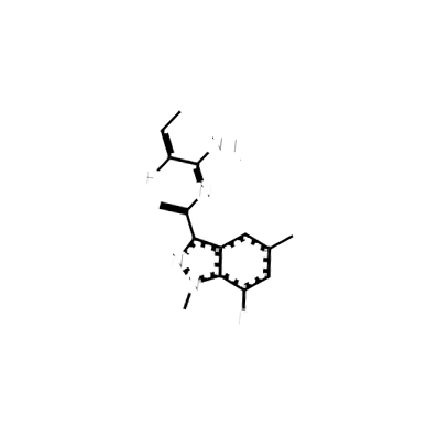 C=C(/N=C(N)\C(F)=C/C)c1nn(C)c2c(F)cc(C)cc12